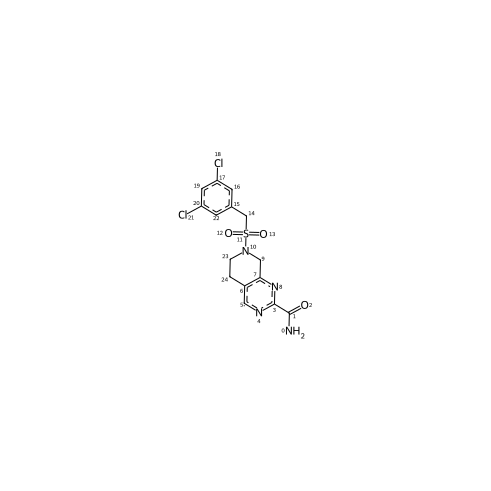 NC(=O)c1n[c]c2c(n1)CN(S(=O)(=O)Cc1cc(Cl)cc(Cl)c1)CC2